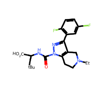 CCN1CCc2c(c(-c3cc(F)ccc3F)nn2C(=O)NC(C(=O)O)C(C)(C)C)C1